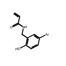 C=CC(=O)NCc1cc(C(C)=O)ccc1O